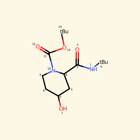 CC(C)(C)NC(=O)C1CC(O)CCN1C(=O)OC(C)(C)C